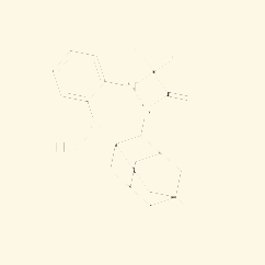 COc1ccccc1N1N(C2C3CC4CC2CC(O)(C4)C3)C(=O)C1(C)C